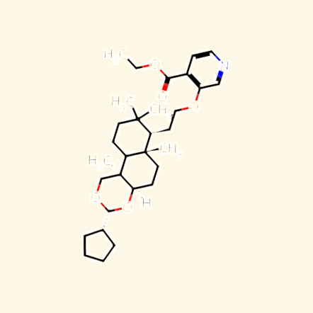 CCOC(=O)c1ccncc1OCC[C@@H]1C(C)(C)CCC2[C@]3(C)CO[C@@H](C4CCCC4)O[C@@H]3CC[C@]21C